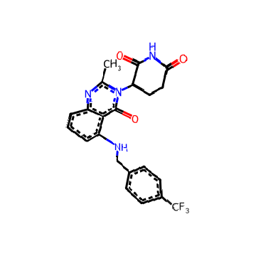 Cc1nc2cccc(NCc3ccc(C(F)(F)F)cc3)c2c(=O)n1C1CCC(=O)NC1=O